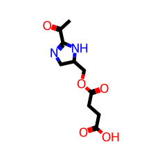 CC(=O)C1=NCC(COC(=O)CCC(=O)O)N1